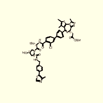 COC(=O)C[C@@H]1N=C(c2ccc(-c3ccc(C(=O)N[C@H](C(=O)N4C[C@H](O)C[C@H]4C(=O)NCc4ccc(-c5scnc5C)cc4)C(C)(C)C)c(Cl)c3)cc2)c2c(sc(C)c2C)-n2c(C)nnc21